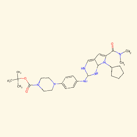 CN(C)C(=O)C1=CC2=CNC(Nc3ccc(N4CCN(C(=O)OC(C)(C)C)CC4)cc3)NC2N1C1CCCC1